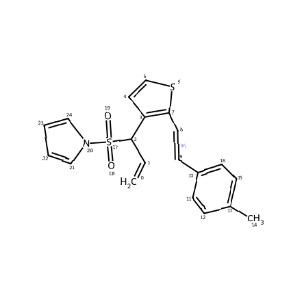 C=CC(c1ccsc1/C=C/c1ccc(C)cc1)S(=O)(=O)n1cccc1